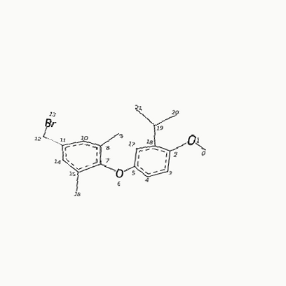 COc1ccc(Oc2c(C)cc(CBr)cc2C)cc1C(C)C